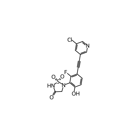 O=C1CN(c2c(O)ccc(C#Cc3cncc(Cl)c3)c2F)S(=O)(=O)N1